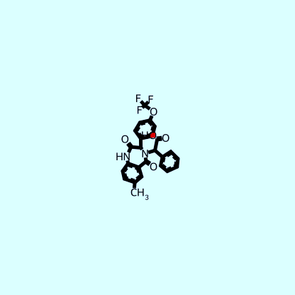 Cc1ccc2c(c1)C(=O)N(C(C(=O)O)c1ccccc1)C(c1ccc(OC(F)(F)F)cc1)C(=O)N2